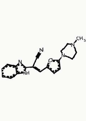 CN1CCN(c2ccc(C=C(C#N)c3nc4ccccc4[nH]3)o2)CC1